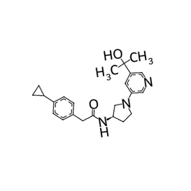 CC(C)(O)c1cncc(N2CC[C@@H](NC(=O)Cc3ccc(C4CC4)cc3)C2)c1